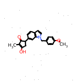 COc1ccc(Cn2ccc3ccc(C4CC(O)=C(C)C4=O)cc32)cc1